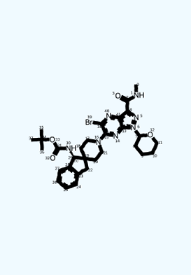 CNC(=O)c1nn(C2CCCCO2)c2nc(N3CCC4(CC3)Cc3ccccc3[C@H]4NC(=O)OC(C)(C)C)c(Br)nc12